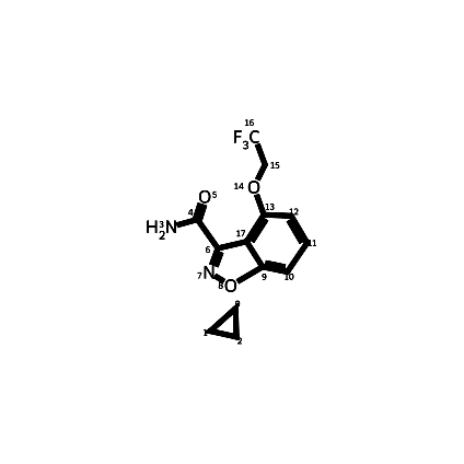 C1CC1.NC(=O)c1noc2cccc(OCC(F)(F)F)c12